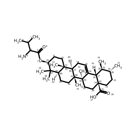 CC(C)C(N)C(=O)O[C@H]1CC[C@]2(C)[C@H]3CC=C4[C@@H]5[C@@H](C)[C@H](C)CC[C@]5(C(=O)O)CC[C@@]4(C)[C@]3(C)CC[C@H]2C1(C)C